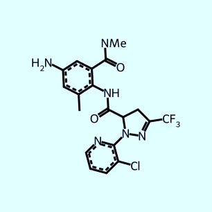 CNC(=O)c1cc(N)cc(C)c1NC(=O)C1CC(C(F)(F)F)=NN1c1ncccc1Cl